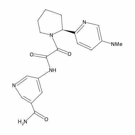 CNc1ccc([C@@H]2CCCCN2C(=O)C(=O)Nc2cncc(C(N)=O)c2)nc1